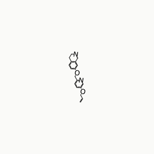 C=CCOc1ccc(COc2ccc3c(c2)C=NCC3)nc1